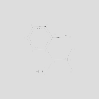 CN(C)[C@H](C(=O)O)c1ccccc1F